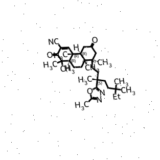 CCC(C)(C)CC[C@@](C)(CC[C@]1(C)CC(=O)C[C@@H]2[C@@]3(C)C=C(C#N)C(=O)C(C)(C)[C@@H]3CC[C@]21C)c1nnc(C)o1